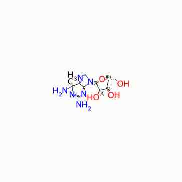 CC1(N)N=C(N)N=C2C1=NCN2[C@@H]1O[C@H](CO)[C@@H](O)[C@H]1O